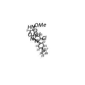 CONC(=O)C(C)Oc1nc2nc(-c3ccc(N4CCCC4)cc3)c(Cl)cc2[nH]1